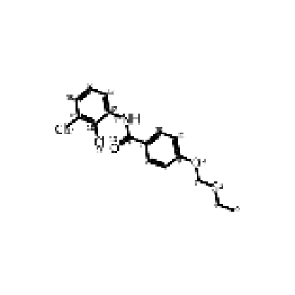 CCSCOc1ccc(C(=O)Nc2cccc(Cl)c2Cl)cc1